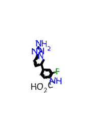 Nc1nc2ccc(-c3ccc(NC(=O)O)c(F)c3)cn2n1